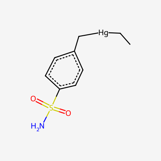 C[CH2][Hg][CH2]c1ccc(S(N)(=O)=O)cc1